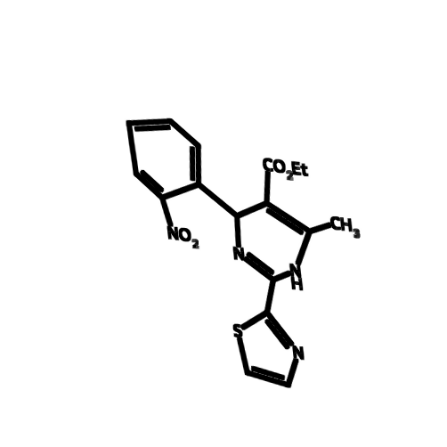 CCOC(=O)C1=C(C)NC(c2nccs2)=NC1c1ccccc1[N+](=O)[O-]